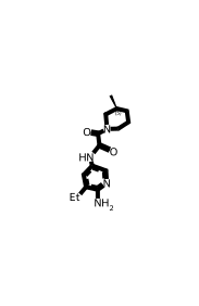 CCc1cc(NC(=O)C(=O)N2CCC[C@H](C)C2)cnc1N